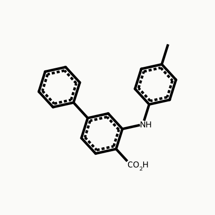 Cc1ccc(Nc2cc(-c3ccccc3)ccc2C(=O)O)cc1